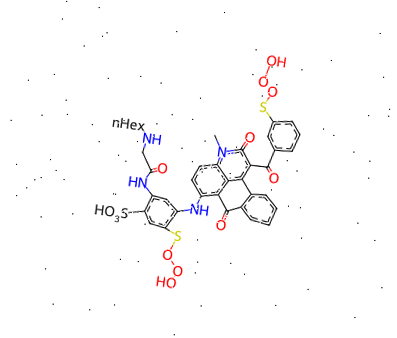 CCCCCCNCC(=O)Nc1cc(Nc2ccc3c4c2C(=O)c2ccccc2-c4c(C(=O)c2cccc(SOOO)c2)c(=O)n3C)c(SOOO)cc1S(=O)(=O)O